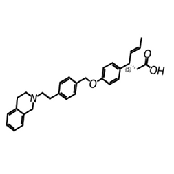 CC=C[C@H](CC(=O)O)c1ccc(OCc2ccc(CCN3CCc4ccccc4C3)cc2)cc1